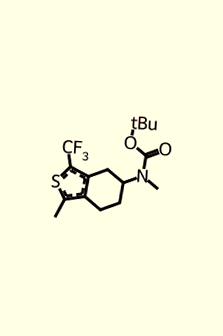 Cc1sc(C(F)(F)F)c2c1CCC(N(C)C(=O)OC(C)(C)C)C2